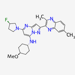 CO[C@H]1CC[C@H](Nc2cc(N3CC[C@@H](F)C3)nc3cc(-c4nc5cc(C)ccc5nc4C)nn23)CC1